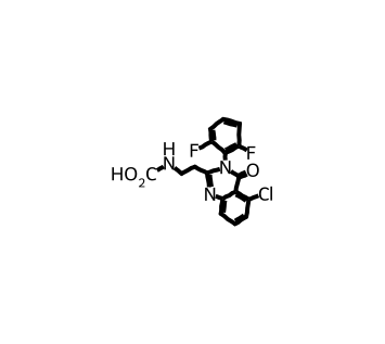 O=C(O)NCCc1nc2cccc(Cl)c2c(=O)n1-c1c(F)cccc1F